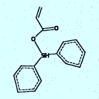 C=CC(=O)O[SiH](c1ccccc1)c1ccccc1